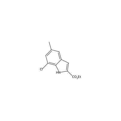 CCOC(=O)c1cc2cc(C)cc(Cl)c2[nH]1